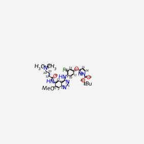 COc1cc2ncnc(Nc3ccc(Oc4ccn(C(=O)OC(C)(C)C)n4)cc3F)c2cc1NC(=O)/C=C/CN(C)C